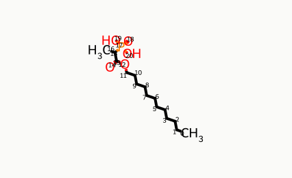 CCCCCCCCCCCCOC(=O)C(C)P(=O)(O)O